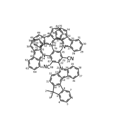 CC1(C)c2ccccc2-c2c1ccc1c2c2ccccc2n1-c1c(C#N)c(-n2c3ccccc3c3ccccc32)c(-n2c3ccccc3c3ccccc32)c(-n2c3ccccc3c3ccccc32)c1C#N